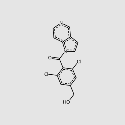 O=C(c1c(Cl)cc(CO)cc1Cl)n1ccc2cnccc21